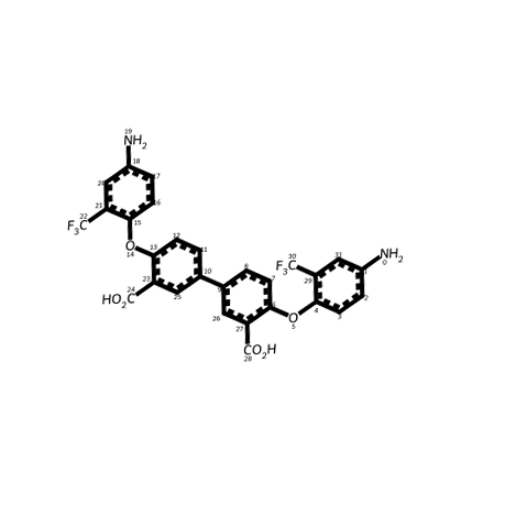 Nc1ccc(Oc2ccc(-c3ccc(Oc4ccc(N)cc4C(F)(F)F)c(C(=O)O)c3)cc2C(=O)O)c(C(F)(F)F)c1